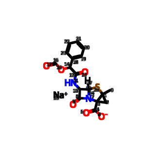 CC12CC1(C(=O)[O-])N1C(=O)C(NC(=O)C(OC=O)c3ccccc3)[C@@H]1S2.[Na+]